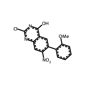 COc1ccccc1-c1cc2c(O)nc(Cl)nc2cc1[N+](=O)[O-]